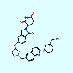 COC[C@H]1CCC[C@H](c2ccc3cc(CN4CCC(Oc5ccc6c(c5)CN(C5CCC(=O)NC5=O)C6=O)C4)ccc3n2)C1